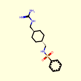 N=C(N)NC[C@H]1CC[C@H](CNS(=O)(=O)c2ccccc2)CC1